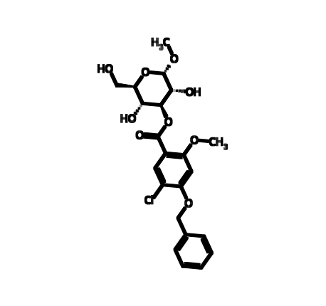 COc1cc(OCc2ccccc2)c(Cl)cc1C(=O)O[C@@H]1[C@@H](O)[C@@H](OC)O[C@H](CO)[C@H]1O